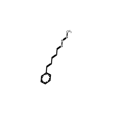 C/N=N/N=C/C=C/C=C/c1ccccc1